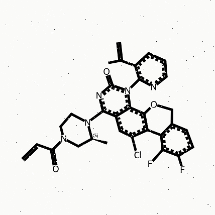 C=CC(=O)N1CCN(c2nc(=O)n(-c3ncccc3C(=C)C)c3c4c(c(Cl)cc23)-c2c(ccc(F)c2F)CO4)[C@@H](C)C1